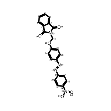 O=C1c2ccccc2C(=O)N1COc1ccc(N=Nc2ccc([N+](=O)[O-])cc2)cc1